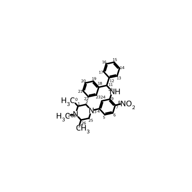 CC1CN(c2ccc([N+](=O)[O-])c(NC(c3ccccc3)c3ccccc3)c2)CC(C)N1C